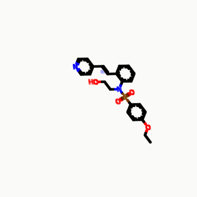 CCOc1ccc(S(=O)(=O)N(CCO)c2ccccc2/C=C/c2ccncc2)cc1